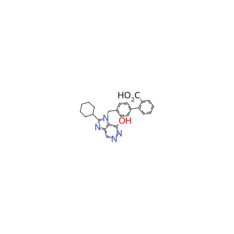 O=C(O)c1ccccc1-c1ccc(Cn2c(C3CCCCC3)nc3cnnc(O)c32)cc1